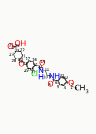 CCOc1ccc(C(=O)NCCNC(=O)c2ccc(O[C@H]3CC[C@@H](C(=O)O)CC3)cc2Cl)cc1